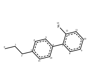 CCCc1[c]cc(-c2ccccc2F)cc1